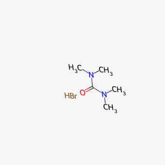 Br.CN(C)C(=O)N(C)C